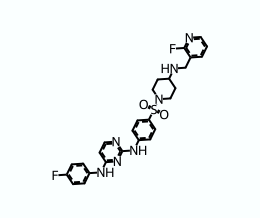 O=S(=O)(c1ccc(Nc2nccc(Nc3ccc(F)cc3)n2)cc1)N1CCC(NCc2cccnc2F)CC1